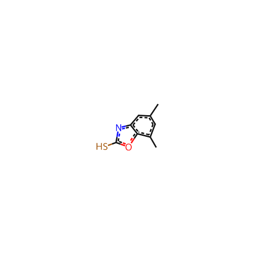 Cc1cc(C)c2oc(S)nc2c1